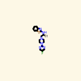 CCC(CN1CCN(c2ncc(F)cn2)CC1)Nc1nc2ccccc2s1